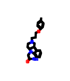 Cc1ccc(OCCCN2CCC3C(C2)c2cccc4c2N3CC(=O)N4)cc1